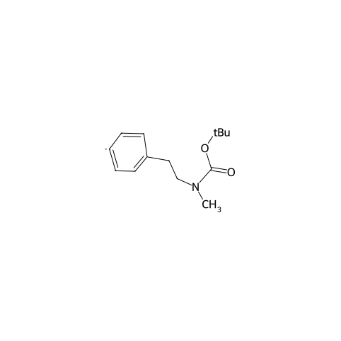 CN(CCc1cc[c]cc1)C(=O)OC(C)(C)C